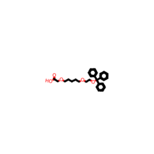 O=C(O)COCCCCCOCCOC(c1ccccc1)(c1ccccc1)c1ccccc1